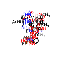 CCSSC(SSC/C=C1\C2=C(NC(=O)OC)C(=O)C[C@@]1(O)C#C/C=C\C#C[C@@H]2O[C@@H]1O[C@H](C)[C@@H](NO[C@H]2C[C@H](O)[C@H](SC(=O)c3c(C)c(I)c(O[C@@H]4O[C@@H](C)[C@H](O)[C@@H](OC)[C@H]4O)c(OC)c3OC)[C@@H](C)O2)[C@H](O)[C@H]1O[C@H]1C[C@H](OC)[C@@H](N(CC)C(=O)OCc2ccc(NC(=O)[C@H](CCCNC(N)=O)NC(=O)[C@@H](NC(=O)[C@H](CCCCN)NC(C)=O)C(C)C)cc2)CO1)P(=O)(O)O